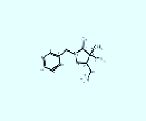 CC1(C)C(=O)N(Cc2ccccc2)CC1CN